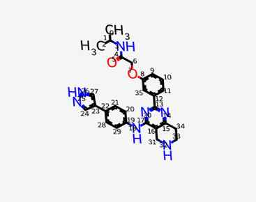 CC(C)NC(=O)COc1cccc(-c2nc3c(c(Nc4ccc(-c5cn[nH]c5)cc4)n2)CNCC3)c1